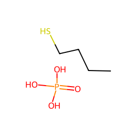 CCCCS.O=P(O)(O)O